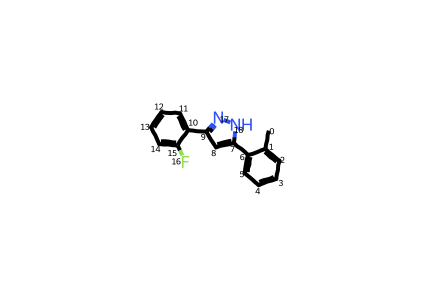 Cc1ccccc1-c1cc(-c2ccccc2F)n[nH]1